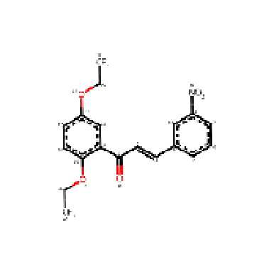 O=C(C=Cc1cccc([N+](=O)[O-])c1)c1cc(OCC(F)(F)F)ccc1OCC(F)(F)F